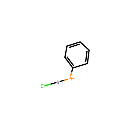 [Cl][Ir][PH]c1ccccc1